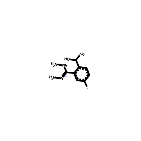 CCCC(O)c1ccc(F)cc1/C(=N/N)NN